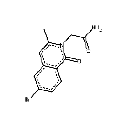 Cc1cc2cc(Br)ccc2c(=O)n1CC(N)=O